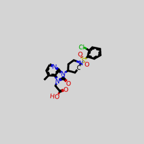 Cc1ccnc2c1n(CC(=O)O)c(=O)n2C1CCN(S(=O)(=O)c2ccccc2Cl)CC1